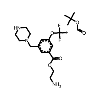 CC(C)(C)OC=O.NCCOC(=O)c1cc(CN2CCNCC2)cc(OC(F)(F)F)c1